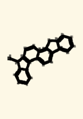 CCn1c2ccccc2c2c3ccc4c(c3ccc21)Cc1ccccc1-4